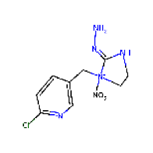 NN=C1NCC[N+]1(Cc1ccc(Cl)nc1)[N+](=O)[O-]